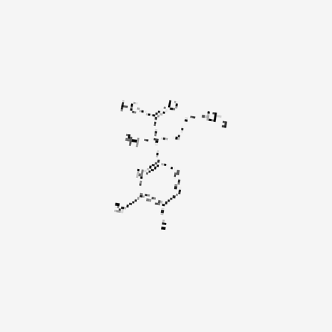 [2H]C(CCC)(C(=O)O)c1ccc(F)c(Br)n1